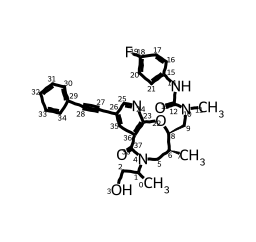 CC(CO)N1C[C@H](C)[C@H](CN(C)C(=O)Nc2ccc(F)cc2)Oc2ncc(C#Cc3ccccc3)cc2C1=O